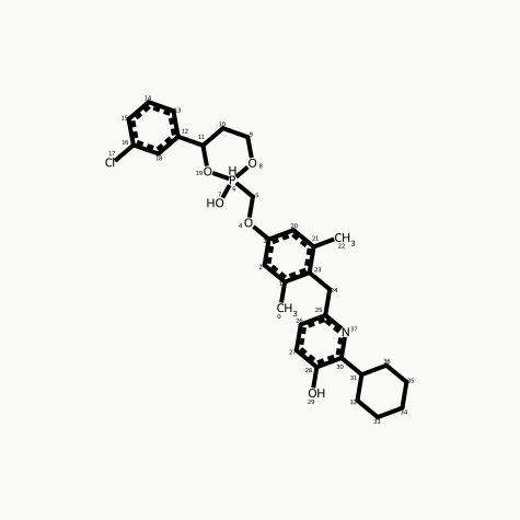 Cc1cc(OC[PH]2(O)OCCC(c3cccc(Cl)c3)O2)cc(C)c1Cc1ccc(O)c(C2CCCCC2)n1